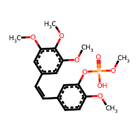 COc1ccc(/C=C\c2cc(OC)c(OC)c(OC)c2)cc1OP(=O)(O)OC